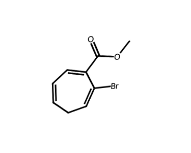 COC(=O)C1=CC=CCC=C1Br